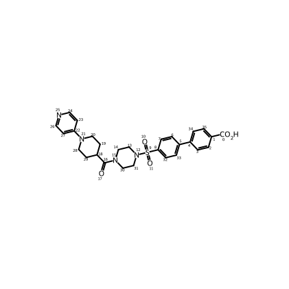 O=C(O)c1ccc(-c2ccc(S(=O)(=O)N3CCN(C(=O)C4CCN(c5ccncc5)CC4)CC3)cc2)cc1